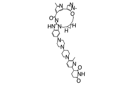 Cc1cc2cc(n1)-c1cnn(C)c1OCC[C@@H]1C[C@H]1CN1/C(=N/C2=O)Nc2ccc(N3CCN(C4CCN(c5ccc(C6CCC(=O)NC6=O)nc5C)CC4)CC3)cc21